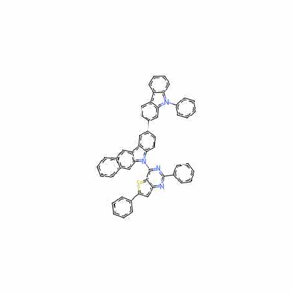 c1ccc(-c2nc(-n3c4ccc(-c5ccc6c7ccccc7n(-c7ccccc7)c6c5)cc4c4cc5ccccc5cc43)c3sc(-c4ccccc4)cc3n2)cc1